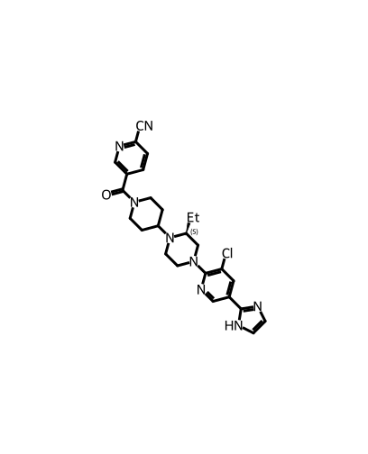 CC[C@H]1CN(c2ncc(-c3ncc[nH]3)cc2Cl)CCN1C1CCN(C(=O)c2ccc(C#N)nc2)CC1